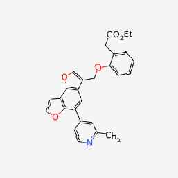 CCOC(=O)Cc1ccccc1OCc1coc2c1cc(-c1ccnc(C)c1)c1occc12